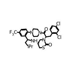 CC(C)CC(N)c1cc(C(F)(F)F)ccc1N1CCN(C(=O)C(Cc2ccc(Cl)cc2Cl)N2CCCSC2=O)CC1